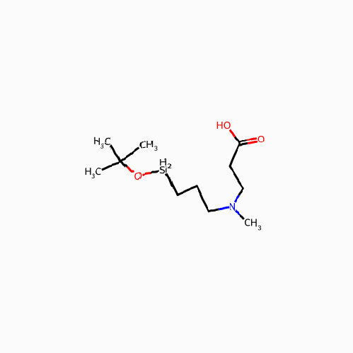 CN(CCC[SiH2]OC(C)(C)C)CCC(=O)O